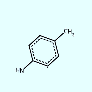 Cc1c[c]c([NH])cc1